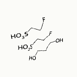 O=S(=O)(O)CCF.O=S(=O)(O)CCF.OCCCO